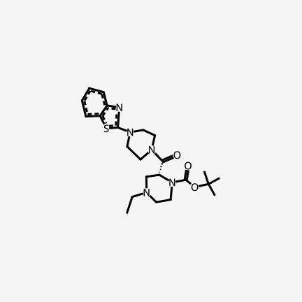 CCN1CCN(C(=O)OC(C)(C)C)[C@@H](C(=O)N2CCN(c3nc4ccccc4s3)CC2)C1